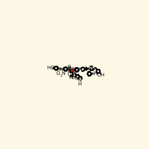 CC(C)c1ccccc1[C@@H]1CN(CC2CCC(C)(O)CC2)CCN1C1CC2(CCN(c3ccc(C(=O)NS(=O)(=O)c4ccc(NC[C@H]5CC[C@](C)(O)CC5)c([N+](=O)[O-])c4)c(N4c5cc6cc[nH]c6nc5O[C@H]5COCC[C@@H]54)c3)CC2)C1